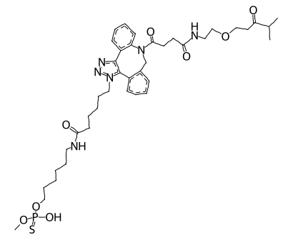 COP(O)(=S)OCCCCCCNC(=O)CCCCCn1nnc2c1-c1ccccc1CN(C(=O)CCC(=O)NCCOCCC(=O)C(C)C)c1ccccc1-2